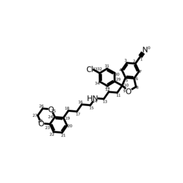 N#Cc1ccc2c(c1)COC2(CCCNCCCCc1cccc2c1OCCO2)c1ccc(Cl)cc1